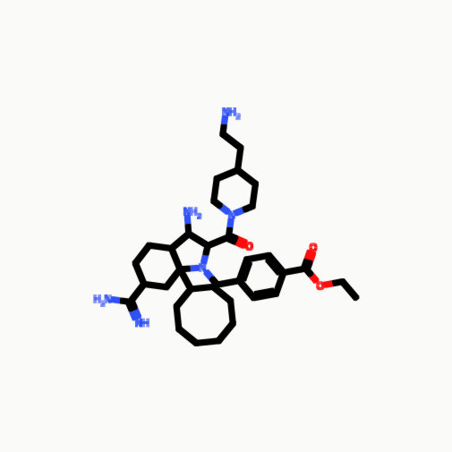 CCOC(=O)c1ccc(CN2C(C(=O)N3CCC(CCN)CC3)C(N)C3CCC(C(=N)N)CC32C2CCCCCCC2)cc1